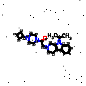 CC(C)n1c2c(c3ccccc31)CCN(CC(=O)N1CCN(C3CCC3)CC1)C2